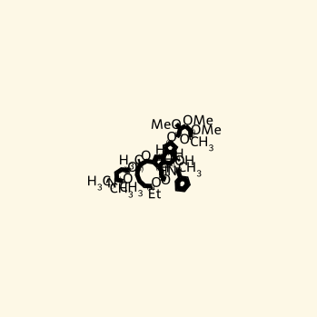 CC[C@H]1CCC[C@H](O[C@H]2CC[C@H](N(C)C)C(C)O2)[C@@H](C)C(=O)C2=C[C@H]3[C@@H]4C[C@H](O[C@@H]5OC(C)[C@H](OC)C(OC)C5OC)C[C@H]4[C@@H](O)[C@H](N[C@H](C)c4ccccc4)[C@H]3[C@@H]2CC(=O)O1